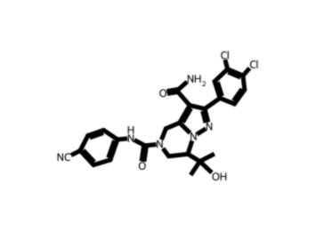 CC(C)(O)C1CN(C(=O)Nc2ccc(C#N)cc2)Cc2c(C(N)=O)c(-c3ccc(Cl)c(Cl)c3)nn21